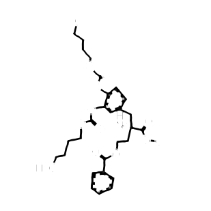 CCCCCOC(=O)Oc1ccc(C[C@](N)(CCOC(=O)c2ccccc2)C(=O)OC)cc1OC(=O)OCCCCC